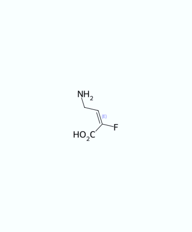 NC/C=C(/F)C(=O)O